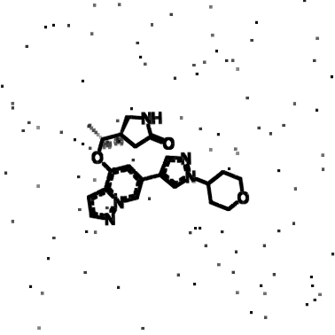 C[C@@H](Oc1cc(-c2cnn(C3CCOCC3)c2)cn2nccc12)[C@H]1CNC(=O)C1